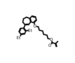 C=C(C)C(=O)OCCCCCCOc1cccc2c1C=C(c1ccc(CC)cc1CC)CCC2